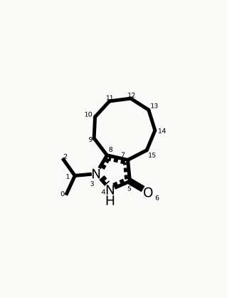 CC(C)n1[nH]c(=O)c2c1CCCCCCC2